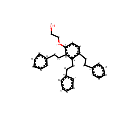 OCCOc1ccc(CCc2ccccc2)c(CCc2ccccc2)c1CCc1ccccc1